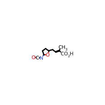 CC(=CCC1CCC(N=C=O)O1)C(=O)O